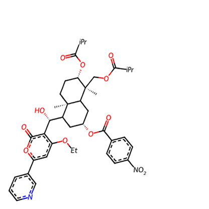 CCOc1cc(-c2cccnc2)oc(=O)c1[C@H](O)C1C[C@@H](OC(=O)c2ccc([N+](=O)[O-])cc2)CC2[C@]1(C)CC[C@H](OC(=O)C(C)C)[C@@]2(C)COC(=O)C(C)C